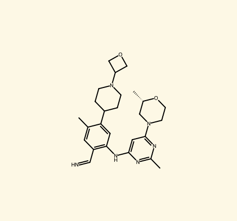 Cc1nc(Nc2cc(C3CCN(C4COC4)CC3)c(C)cc2C=N)cc(N2CCO[C@@H](C)C2)n1